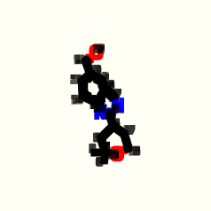 CC1(C)CC(c2ncc3cc(C=O)ccc3n2)CCO1